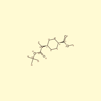 COC(=O)[C@H]1CC[C@@H](N(C)C(=O)OC(C)(C)C)CC1